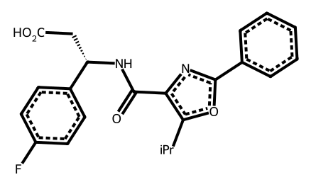 CC(C)c1oc(-c2ccccc2)nc1C(=O)N[C@@H](CC(=O)O)c1ccc(F)cc1